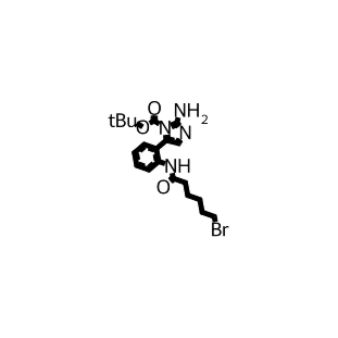 CC(C)(C)OC(=O)n1c(-c2ccccc2NC(=O)CCCCCBr)cnc1N